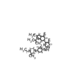 CCN1CCN(c2ccc(Nc3ncc(F)c(-c4cc(F)c5cc(C)n(C(C)C)c5c4)n3)nc2)CC1C